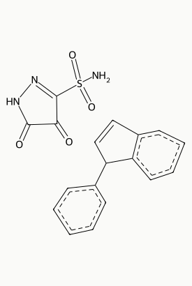 C1=CC(c2ccccc2)c2ccccc21.NS(=O)(=O)C1=NNC(=O)C1=O